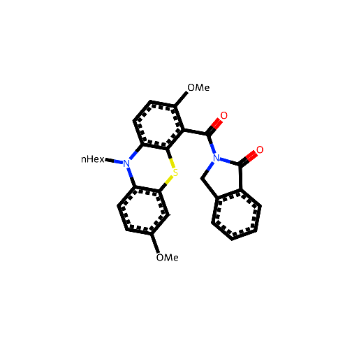 CCCCCCN1c2ccc(OC)[c]c2Sc2c1ccc(OC)c2C(=O)N1Cc2ccccc2C1=O